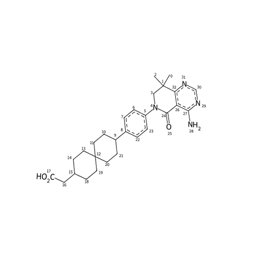 CC1(C)CN(c2ccc(C3CCC4(CCC(CC(=O)O)CC4)CC3)cc2)C(=O)c2c(N)ncnc21